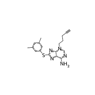 C#CCCCn1cnc(N)c2nc(Sc3cc(C)cc(C)c3)nc1-2